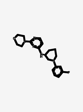 Fc1cccc(N2CCC[C@@H](Nc3ccnc(N4CCOCC4)n3)C2)c1